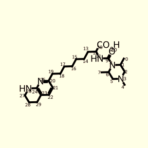 CC1CN(C)CC(C)N1C(=O)NC(CCCCCCCc1ccc2c(n1)NCCC2)C(=O)O